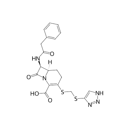 O=C(Cc1ccccc1)N[C@@H]1C(=O)N2C(C(=O)O)=C(SCSc3c[nH]nn3)CC[C@H]12